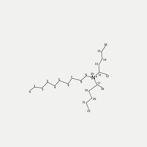 CCCCCCCCCC[N+](C(C)CCCC)C(C)CCCC